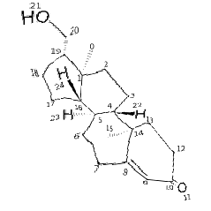 C[C@]12CC[C@H]3[C@@H](CCC4=CC(=O)CC[C@@]43C)[C@@H]1CC[C@@H]2CO